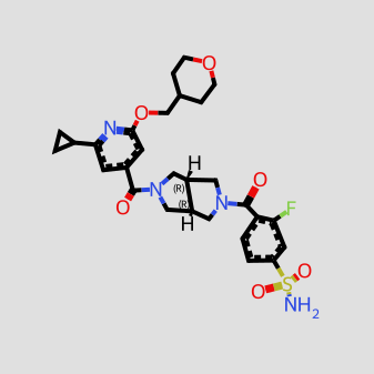 NS(=O)(=O)c1ccc(C(=O)N2C[C@H]3CN(C(=O)c4cc(OCC5CCOCC5)nc(C5CC5)c4)C[C@@H]3C2)c(F)c1